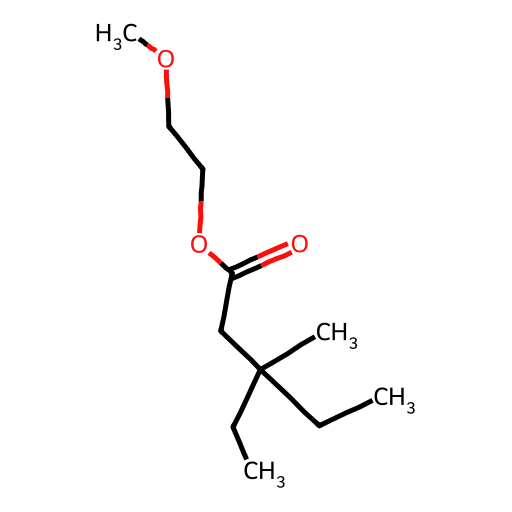 CCC(C)(CC)CC(=O)OCCOC